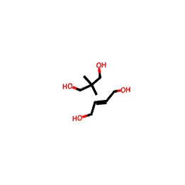 CC(C)(CO)CO.OCC=CCO